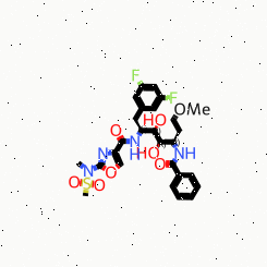 COCC[C@@H](NC(=O)c1ccccc1)[C@@H](O)[C@H](O)[C@H](Cc1cc(F)cc(F)c1)NC(=O)c1coc(N(C)S(C)(=O)=O)n1